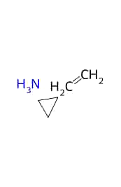 C1CC1.C=C.N